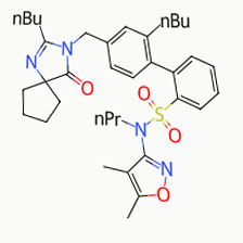 CCCCC1=NC2(CCCC2)C(=O)N1Cc1ccc(-c2ccccc2S(=O)(=O)N(CCC)c2noc(C)c2C)c(CCCC)c1